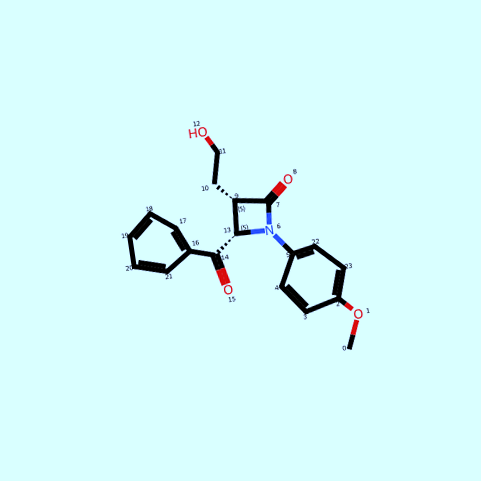 COc1ccc(N2C(=O)[C@@H](CCO)[C@H]2C(=O)c2ccccc2)cc1